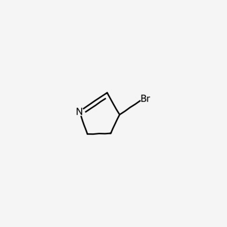 BrC1C=NCC1